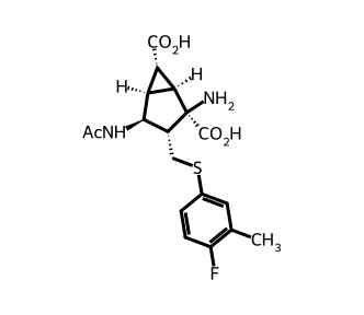 CC(=O)N[C@H]1[C@H]2[C@H](C(=O)O)[C@H]2[C@](N)(C(=O)O)[C@@H]1CSc1ccc(F)c(C)c1